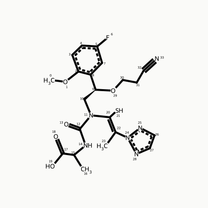 COc1ccc(F)cc1[C@H](CN(C(=O)NC(C)C(=O)O)/C(S)=C(\C)n1nccn1)OCCC#N